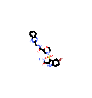 NC(=O)c1[nH]c2ccc(Br)cc2c1S(=O)(=O)N1CCOC(C(=O)NCc2nc3ccccc3[nH]2)C1